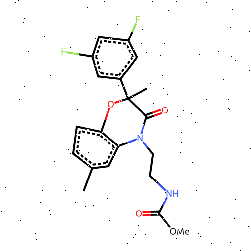 COC(=O)NCCN1C(=O)C(C)(c2cc(F)cc(F)c2)Oc2ccc(C)cc21